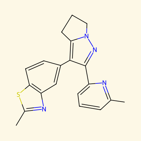 Cc1cccc(-c2nn3c(c2-c2ccc4sc(C)nc4c2)CCC3)n1